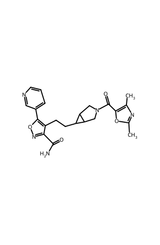 Cc1nc(C)c(C(=O)N2CC3C(CCc4c(C(N)=O)noc4-c4cccnc4)C3C2)o1